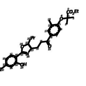 CCOC(=O)C(C)(C)Oc1ccc(C(=O)CCC2N=C(c3ccc(Cl)cc3O)OC2C(C)C)cc1C